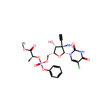 C#C[C@@]1(N)[C@@H](O)[C@@H](CO[P@](=O)(Oc2ccccc2)O[C@@H](C)C(=O)OC(C)C)O[C@H]1n1cc(F)c(=O)[nH]c1=O